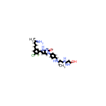 CC[C@@H](CCNC(=N)CCO)NCc1ccc(-n2cc3cc(-c4cc(CCC[C@H](C)N)cc(Cl)c4F)[nH]c3nc2=O)cc1